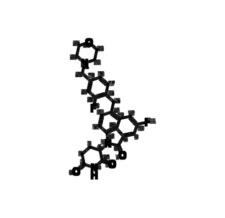 O=C1CCC(N2C(=O)c3cc(F)cc4c(Cc5ccc(CN6CCOCC6)cc5F)ccc2c34)C(=O)N1